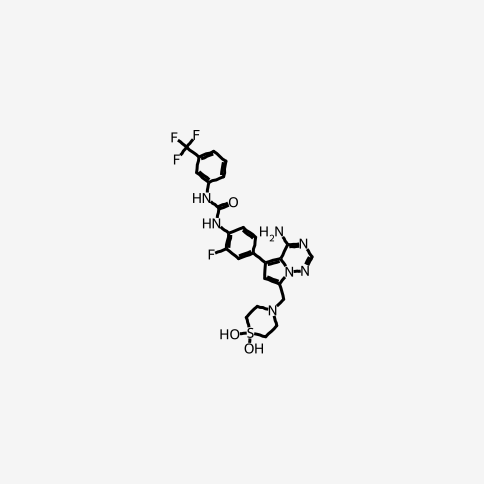 Nc1ncnn2c(CN3CCS(O)(O)CC3)cc(-c3ccc(NC(=O)Nc4cccc(C(F)(F)F)c4)c(F)c3)c12